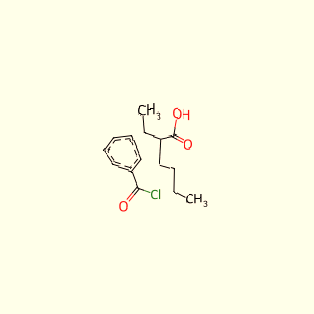 CCCCC(CC)C(=O)O.O=C(Cl)c1ccccc1